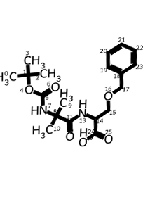 CC(C)(C)OC(=O)NC(C)(C)C(=O)NC(COCc1ccccc1)C(=O)O